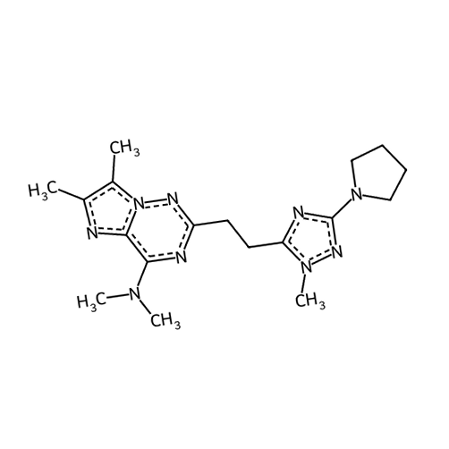 Cc1nc2c(N(C)C)nc(CCc3nc(N4CCCC4)nn3C)nn2c1C